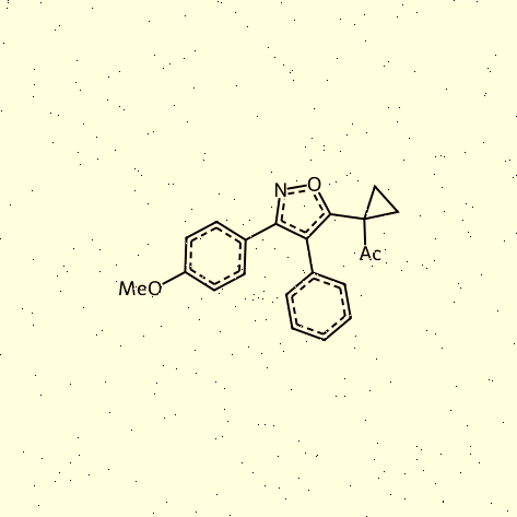 COc1ccc(-c2noc(C3(C(C)=O)CC3)c2-c2ccccc2)cc1